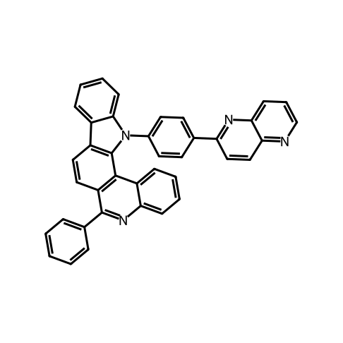 c1ccc(-c2nc3ccccc3c3c2ccc2c4ccccc4n(-c4ccc(-c5ccc6ncccc6n5)cc4)c23)cc1